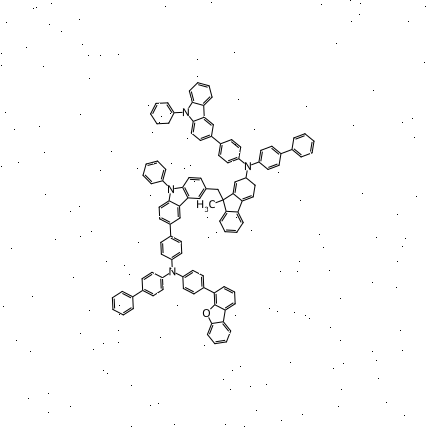 CC1(Cc2ccc3c(c2)c2cc(-c4ccc(N(c5ccc(-c6ccccc6)cc5)c5ccc(-c6cccc7c6oc6ccccc67)cc5)cc4)ccc2n3-c2ccccc2)C2=CC(N(c3ccc(-c4ccccc4)cc3)c3ccc(-c4ccc5c(c4)c4ccccc4n5C4=CC=CCC4)cc3)CC=C2c2ccccc21